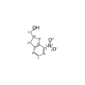 O=[N+]([O-])c1cccc2c1CC(CO)C2